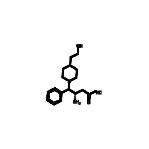 CC(=O)C[C@H](N)C(c1ccccc1)N1CCC(CCO)CC1.Cl